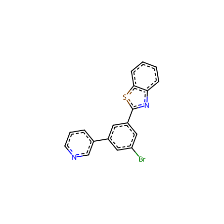 Brc1cc(-c2cccnc2)cc(-c2nc3ccccc3s2)c1